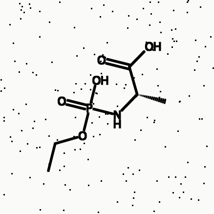 CCOP(=O)(O)N[C@@H](C)C(=O)O